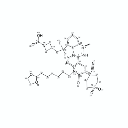 C[C@@H](Nc1ncnc2c1cc(C1(C#N)CCS(=O)(=O)CC1)c(=O)n2CCCCCCC1OCCO1)c1cccc(C(F)(F)CC2CN(C(=O)O)C2)c1